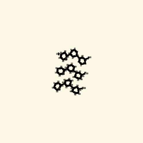 Fc1cccc(-c2cccc(-c3ccccn3)c2)c1.Fc1cccc(-c2cccc(-c3ccccn3)c2)c1.Fc1cccc(-c2cccc(-c3ccccn3)c2)c1.[Ir]